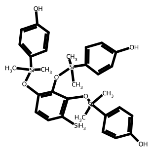 C[Si](C)(Oc1ccc([SiH3])c(O[Si](C)(C)c2ccc(O)cc2)c1O[Si](C)(C)c1ccc(O)cc1)c1ccc(O)cc1